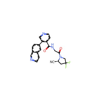 N#C[C@@H]1CC(F)(F)CN1C(=O)CNC(=O)c1ccncc1-c1ccc2cnccc2c1